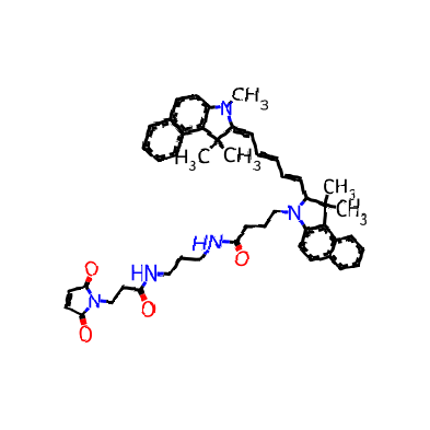 CN1/C(=C/C=C/C=C/C2N(CCCC(=O)NCCCNC(=O)CCN3C(=O)C=CC3=O)c3ccc4ccccc4c3C2(C)C)C(C)(C)c2c1ccc1ccccc21